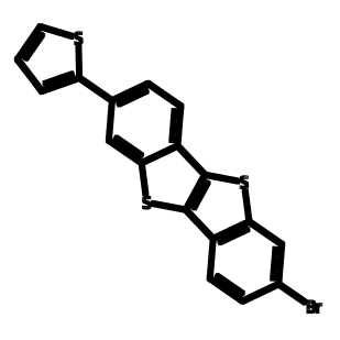 Brc1ccc2c(c1)sc1c3ccc(-c4cccs4)cc3sc21